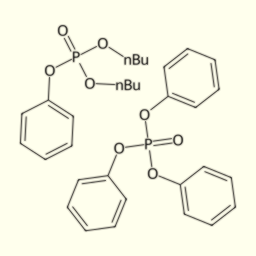 CCCCOP(=O)(OCCCC)Oc1ccccc1.O=P(Oc1ccccc1)(Oc1ccccc1)Oc1ccccc1